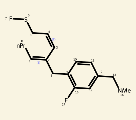 CCC/C=C(\C=C/CSF)Cc1ccc(CNC)cc1F